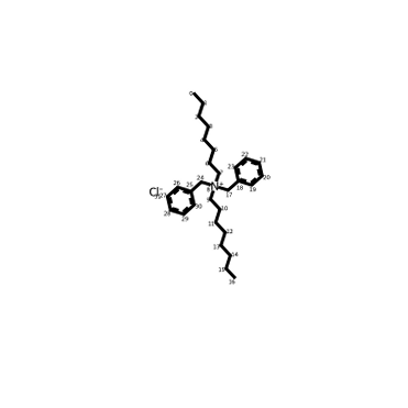 CCCCCCCC[N+](CCCCCCCC)(Cc1ccccc1)Cc1ccccc1.[Cl-]